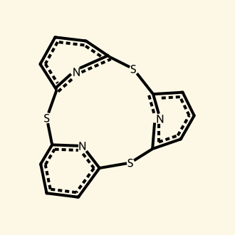 c1cc2nc(c1)Sc1cccc(n1)Sc1cccc(n1)S2